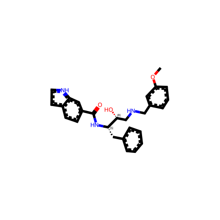 COc1cccc(CNC[C@@H](O)[C@H](Cc2ccccc2)NC(=O)c2ccc3cc[nH]c3c2)c1